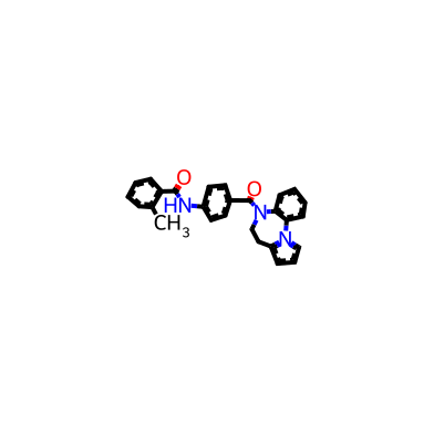 Cc1ccccc1C(=O)Nc1ccc(C(=O)N2CCc3cccn3-c3ccccc32)cc1